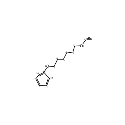 CCCCOCCCCCCOc1[c]cccc1